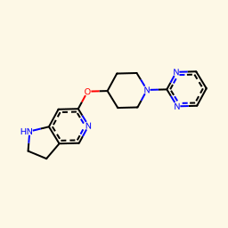 c1cnc(N2CCC(Oc3cc4c(cn3)CCN4)CC2)nc1